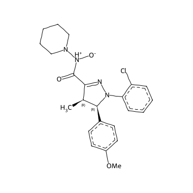 COc1ccc([C@H]2[C@@H](C)C(C(=O)[NH+]([O-])N3CCCCC3)=NN2c2ccccc2Cl)cc1